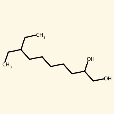 CCC(CC)CCCCCC(O)CO